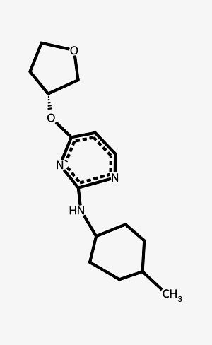 CC1CCC(Nc2nccc(O[C@@H]3CCOC3)n2)CC1